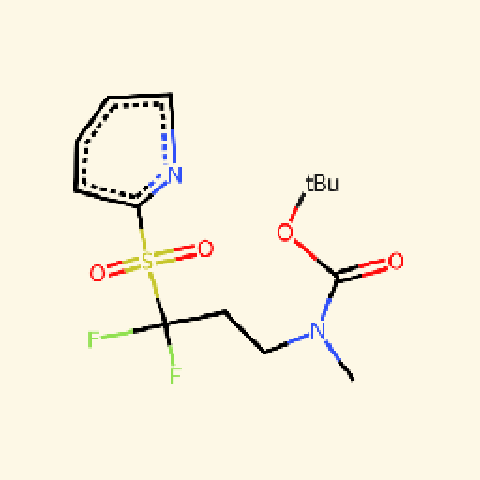 CN(CCC(F)(F)S(=O)(=O)c1ccccn1)C(=O)OC(C)(C)C